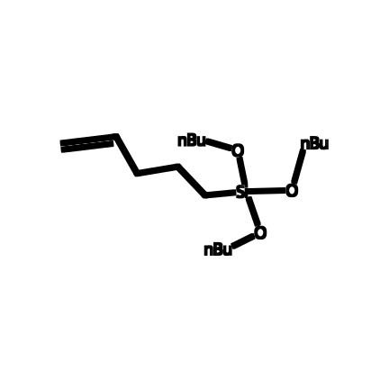 C=CCCC[Si](OCCCC)(OCCCC)OCCCC